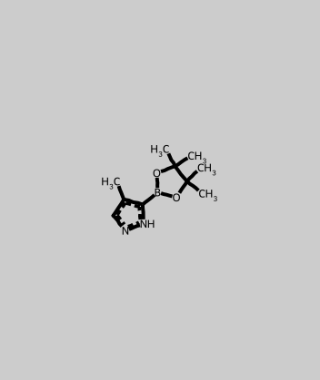 Cc1cn[nH]c1B1OC(C)(C)C(C)(C)O1